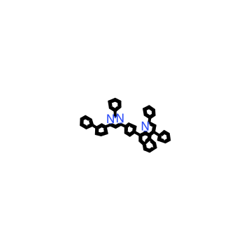 c1ccc(-c2cccc(-c3cc(-c4ccc(-c5cc6ccccc6c6c(-c7ccccc7)cc(-c7ccccc7)nc56)cc4)nc(-c4ccccc4)n3)c2)cc1